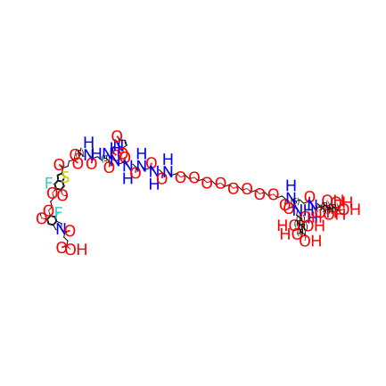 COc1cc2c(c(F)c1OCCCOc1c(OC)cc3sc(C(=O)CCC(=O)O[C@@H](C)CNC(=O)CC[C@H](NC(=O)CN4C(=O)C=CC4=O)C(=O)NCC(=O)NCC(=O)NCC(=O)NCC(=O)NCCOCCOCCOCCOCCOCCOCCOCCOCCC(=O)N[C@@H](CCC(=O)NC[C@H](O)[C@@H](O)[C@H](O)[C@H](O)CO)C(=O)NC[C@H](O)[C@@H](O)[C@H](O)[C@H](O)CO)cc3c1F)CN(C(=O)CCC(=O)O)C2